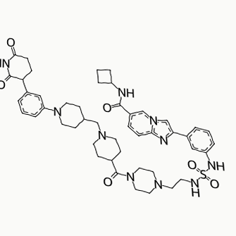 O=C1CCC(c2cccc(N3CCC(CN4CCC(C(=O)N5CCN(CCNS(=O)(=O)Nc6cccc(-c7cn8cc(C(=O)NC9CCC9)ccc8n7)c6)CC5)CC4)CC3)c2)C(=O)N1